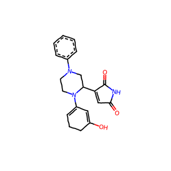 O=C1C=C(C2CN(c3ccccc3)CCN2C2=CCCC(O)=C2)C(=O)N1